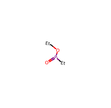 CCO[P](=O)CC